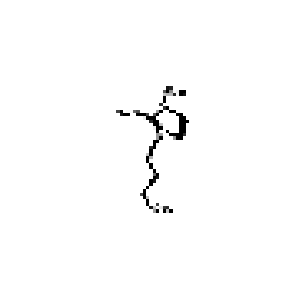 CCCCCCCCCCCCC[n+]1ccn(CCCCCCC)c1CCCCCCCCC